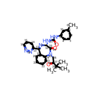 Cc1cccc(NC(=O)N[C@@H]2N=C(c3cccnn3)c3ccccc3N(CC(=O)C(C)(C)C)C2=O)c1